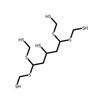 SCSC(CC(S)CC(SCS)SCS)SCS